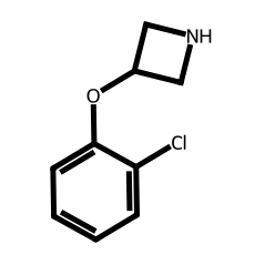 Clc1ccccc1OC1CNC1